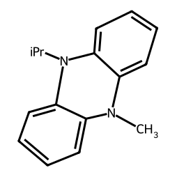 CC(C)N1c2ccccc2N(C)c2ccccc21